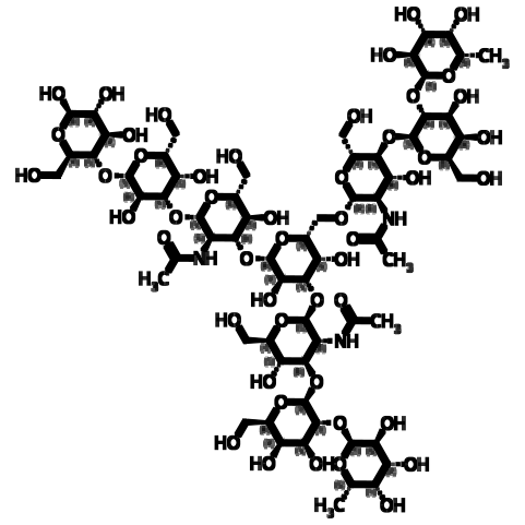 CC(=O)N[C@H]1[C@H](OC[C@H]2O[C@@H](O[C@H]3[C@H](O)[C@@H](CO)O[C@@H](O[C@H]4[C@@H](O)[C@@H](CO)O[C@@H](O[C@H]5[C@H](O)[C@@H](O)[C@H](O)O[C@@H]5CO)[C@@H]4O)[C@@H]3NC(C)=O)[C@H](O)[C@@H](O[C@@H]3O[C@H](CO)[C@@H](O)[C@H](O[C@@H]4O[C@H](CO)[C@H](O)[C@H](O)[C@H]4O[C@@H]4O[C@@H](C)[C@@H](O)[C@@H](O)[C@@H]4O)[C@H]3NC(C)=O)[C@H]2O)O[C@H](CO)[C@@H](O[C@@H]2O[C@H](CO)[C@H](O)[C@H](O)[C@H]2O[C@@H]2O[C@@H](C)[C@@H](O)[C@@H](O)[C@@H]2O)[C@@H]1O